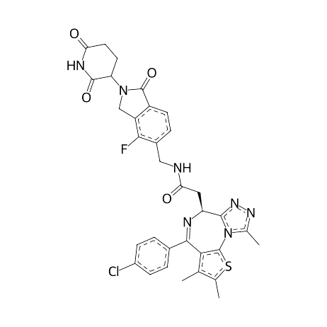 Cc1sc2c(c1C)C(c1ccc(Cl)cc1)=N[C@@H](CC(=O)NCc1ccc3c(c1F)CN(C1CCC(=O)NC1=O)C3=O)c1nnc(C)n1-2